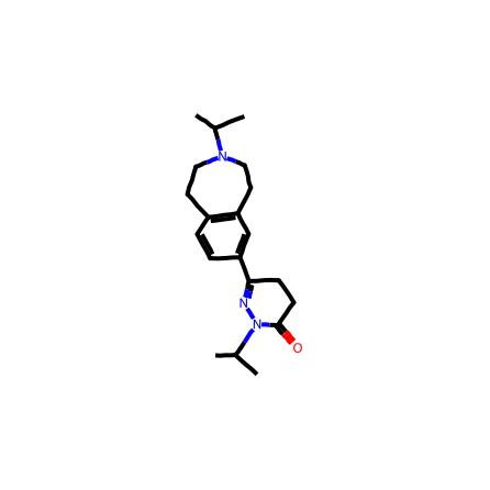 CC(C)N1CCc2ccc(C3=NN(C(C)C)C(=O)CC3)cc2CC1